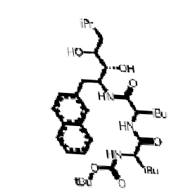 CCC(C)C(NC(=O)OC(C)(C)C)C(=O)NC(C(=O)N[C@@H](Cc1ccc2ccccc2c1)[C@@H](O)[C@@H](O)CC(C)C)C(C)CC